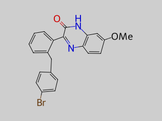 COc1ccc2nc(-c3ccccc3Cc3ccc(Br)cc3)c(=O)[nH]c2c1